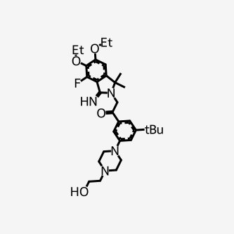 CCOc1cc2c(c(F)c1OCC)C(=N)N(CC(=O)c1cc(N3CCN(CCO)CC3)cc(C(C)(C)C)c1)C2(C)C